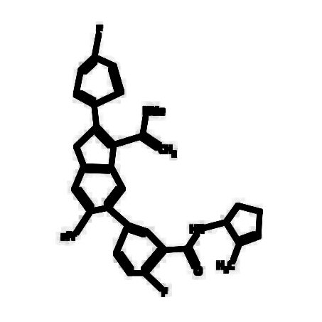 C=C(NC)C1=C(c2ccc(F)cc2)Cc2cc(CCC)c(-c3ccc(F)c(C(=O)NC4CCC=C4C)c3)cc21